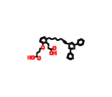 O=C(O)CCCOc1cccc(CCCCCC#Cc2cc(-c3ccccc3)cc(-c3ccccc3)c2)c1CCC(=O)O